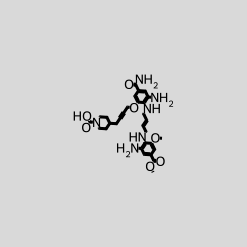 COC(=O)c1cc(N)c(NC/C=C/CNc2c(N)cc(C(N)=O)cc2OCC#CCC2CCN(C(=O)O)CC2)c(OC)c1